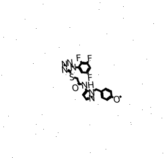 COc1ccc(Cn2nccc2NC(=O)CSc2nnnn2-c2cc(F)cc(F)c2F)cc1